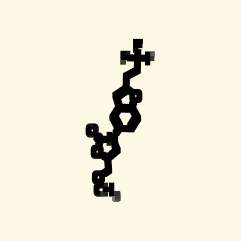 COCC1CN(c2ccc3oc(CCC(F)(F)F)cc3c2)C(=O)O1